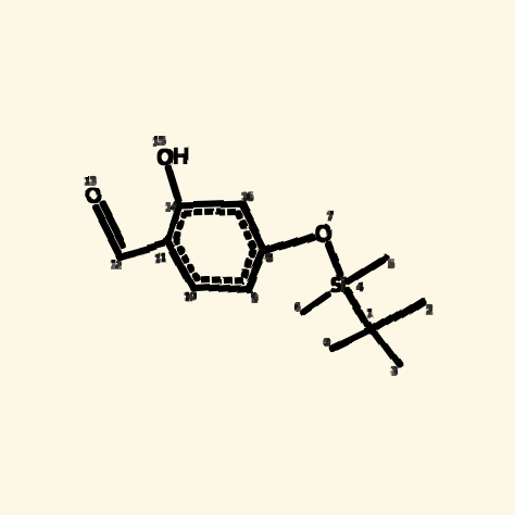 CC(C)(C)[Si](C)(C)Oc1ccc(C=O)c(O)c1